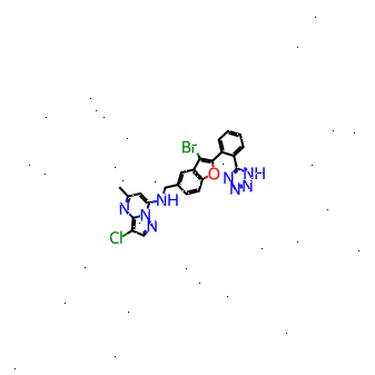 Cc1cc(NCc2ccc3oc(-c4ccccc4-c4nnn[nH]4)c(Br)c3c2)n2ncc(Cl)c2n1